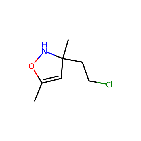 CC1=CC(C)(CCCl)NO1